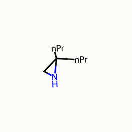 CCCC1(CCC)CN1